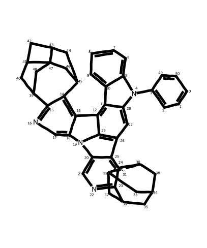 c1ccc(-n2c3ccccc3c3c4c5c6c(ncc5n5c7cnc8c(c7c(cc32)c45)C2CC3CC(CC8C3)C2)C2CC3CC4CC6CC34C2)cc1